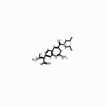 CCCN(CCC)C(=O)C1=Cc2ccc(/C(C(C)=N)=C(\C)N)cc2N=C(N)C1